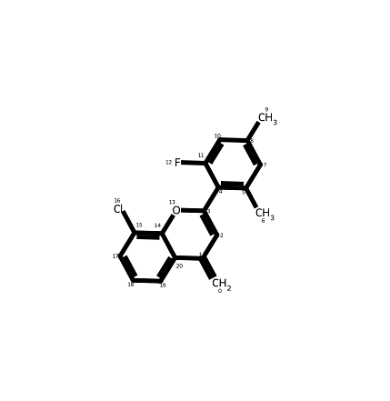 C=C1C=C(c2c(C)cc(C)cc2F)Oc2c(Cl)cccc21